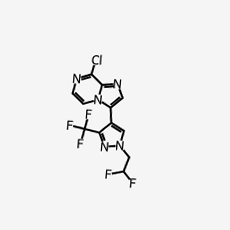 FC(F)Cn1cc(-c2cnc3c(Cl)nccn23)c(C(F)(F)F)n1